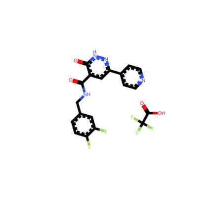 O=C(NCc1ccc(F)c(F)c1)c1cc(-c2ccncc2)n[nH]c1=O.O=C(O)C(F)(F)F